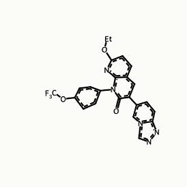 CCOc1ccc2cc(-c3ccc4nncn4c3)c(=O)n(-c3ccc(OC(F)(F)F)cc3)c2n1